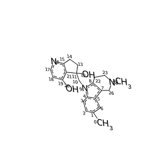 Cc1ccc2c(c1)c1c(n2CC2(O)CCc3nccc(O)c32)CCN(C)C1